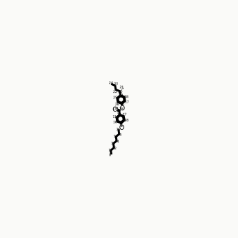 CCCCCCCCOc1ccc(C(=O)Oc2ccc([C@@H](C)CCC)cc2)cc1